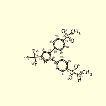 CNS(=O)(=O)c1ccc(-n2nc(C(F)(F)F)cc2-c2ccc(S(C)(=O)=O)cc2)cc1